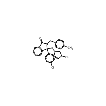 Cc1ccc(CN2C(=O)c3ccccc3C2(OC2C=CC(O)C2)c2ccc(Cl)cc2)cc1